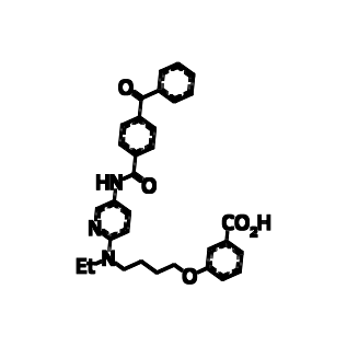 CCN(CCCCOc1cccc(C(=O)O)c1)c1ccc(NC(=O)c2ccc(C(=O)c3ccccc3)cc2)cn1